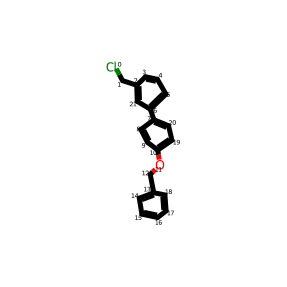 ClCc1cccc(-c2ccc(OCc3ccccc3)cc2)c1